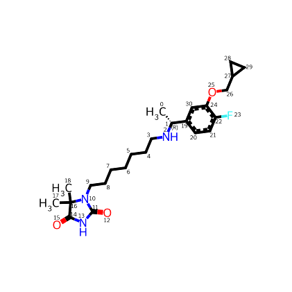 C[C@@H](NCCCCCCCN1C(=O)NC(=O)C1(C)C)c1ccc(F)c(OCC2CC2)c1